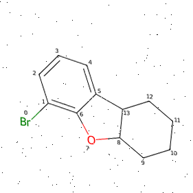 Brc1cccc2c1OC1CCCCC21